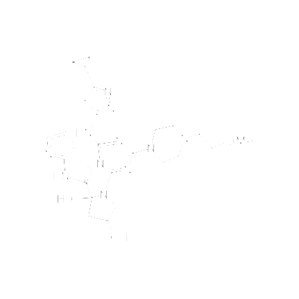 COCCN1CCN(c2nc(Nc3cc(C4CC4)[nH]n3)nc(N3CC(O)CC3(C)C(=O)Nc3nccs3)n2)CC1